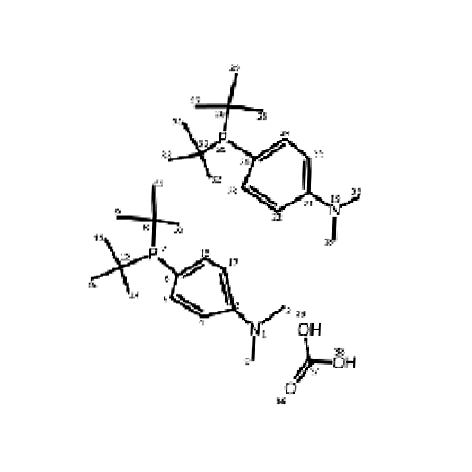 CN(C)c1ccc(P(C(C)(C)C)C(C)(C)C)cc1.CN(C)c1ccc(P(C(C)(C)C)C(C)(C)C)cc1.O=C(O)O